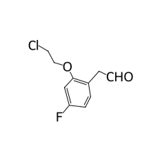 O=CCc1ccc(F)cc1OCCCl